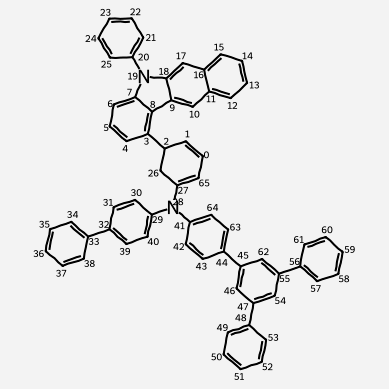 C1=CC(c2cccc3c2c2cc4ccccc4cc2n3-c2ccccc2)CC(N(c2ccc(-c3ccccc3)cc2)c2ccc(-c3cc(-c4ccccc4)cc(-c4ccccc4)c3)cc2)=C1